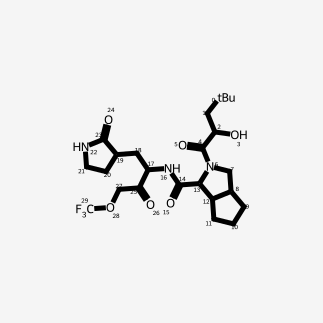 CC(C)(C)CC(O)C(=O)N1CC2CCCC2C1C(=O)NC(CC1CCNC1=O)C(=O)COC(F)(F)F